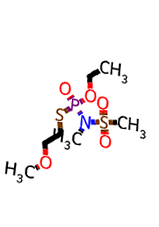 CCOP(=O)(SCCOC)N(C)S(C)(=O)=O